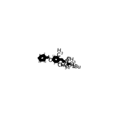 Cc1cc(OCc2ccccc2)cc(C)c1C[C@@H](C(=O)O)N(C)C(=O)OC(C)(C)C